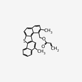 C=CC(=O)OCc1c(C)ccc2ccc3sc4c5ccccc5c(C)cc4c3c12